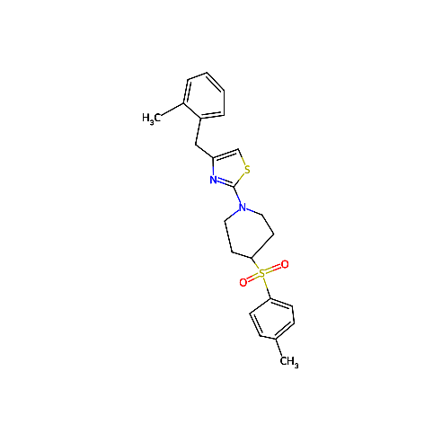 Cc1ccc(S(=O)(=O)C2CCN(c3nc(Cc4ccccc4C)cs3)CC2)cc1